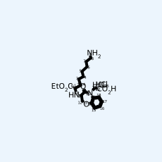 CCOC(=O)[C@H](CCCCCCCN)N[C@H]1COc2ccccc2N(CC(=O)O)C1=O.Cl.Cl